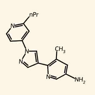 CCCc1cc(-n2cc(-c3ncc(N)cc3C)cn2)ccn1